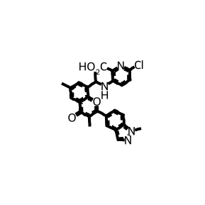 Cc1cc(C(C)Nc2ccc(Cl)nc2C(=O)O)c2oc(-c3ccc4c(cnn4C)c3)c(C)c(=O)c2c1